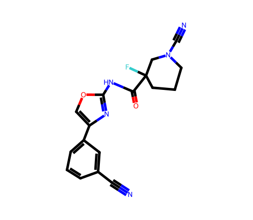 N#Cc1cccc(-c2coc(NC(=O)C3(F)CCCN(C#N)C3)n2)c1